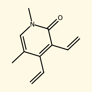 C=Cc1c(C)cn(C)c(=O)c1C=C